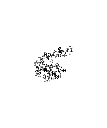 CC(=O)O[C@@]12CO[C@@H]1C[C@H](O)[C@@]1(C)C(=O)[C@H](O)C3=C(C)[C@@H](OC(=O)[C@H](OC(=O)N(C)CCN(C)C(=O)OC(C)c4ccc([N+](=O)[O-])c(Oc5ccc(-c6ccccc6)cc5)c4)[C@@H](NC(=O)OC(C)(C)C)c4ccccc4)C[C@@](O)([C@@H](OC(=O)c4ccccc4)[C@H]21)C3(C)C